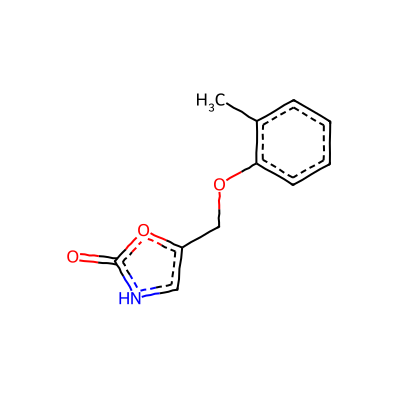 Cc1ccccc1OCc1c[nH]c(=O)o1